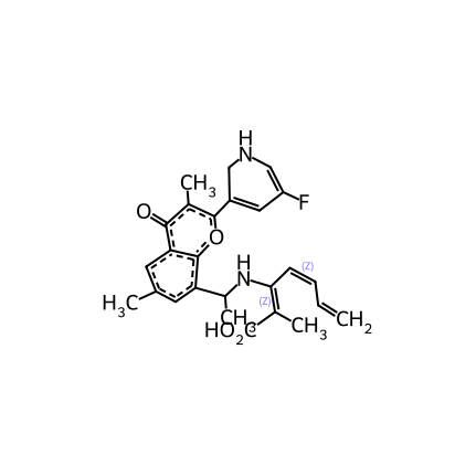 C=C/C=C\C(NC(C)c1cc(C)cc2c(=O)c(C)c(C3=CC(F)=CNC3)oc12)=C(/C)C(=O)O